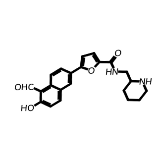 O=Cc1c(O)ccc2cc(-c3ccc(C(=O)NCC4CCCCN4)o3)ccc12